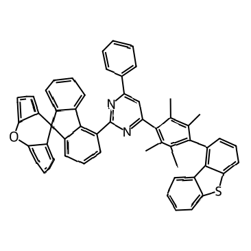 Cc1c(C)c(-c2cccc3sc4ccccc4c23)c(C)c(C)c1-c1cc(-c2ccccc2)nc(-c2cccc3c2-c2ccccc2C32c3ccccc3Oc3ccccc32)n1